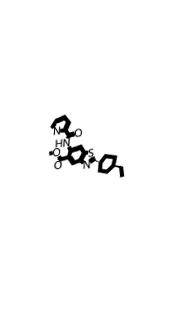 CC[C@H]1CC[C@H](c2nc3cc(C(=O)OC)c(NC(=O)c4ccccn4)cc3s2)CC1